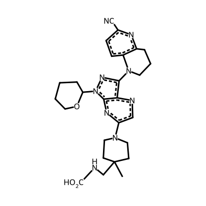 CC1(CNC(=O)O)CCN(c2cnc3c(N4CCCc5nc(C#N)ccc54)nn(C4CCCCO4)c3n2)CC1